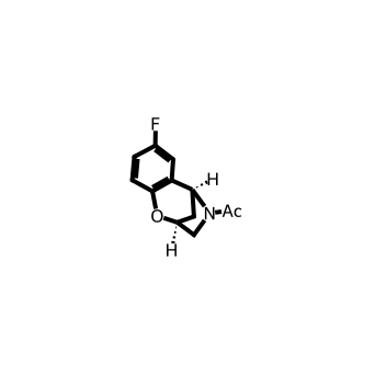 CC(=O)N1C[C@@H]2C[C@H]1c1cc(F)ccc1O2